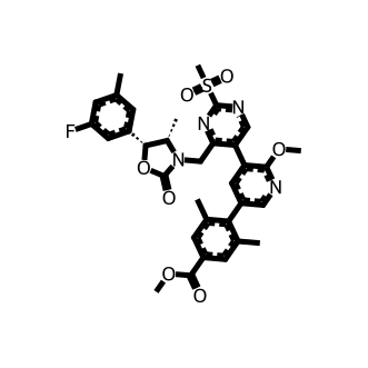 COC(=O)c1cc(C)c(-c2cnc(OC)c(-c3cnc(S(C)(=O)=O)nc3CN3C(=O)O[C@H](c4cc(C)cc(F)c4)[C@@H]3C)c2)c(C)c1